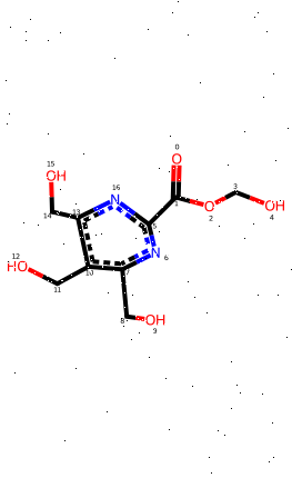 O=C(OCO)c1nc(CO)c(CO)c(CO)n1